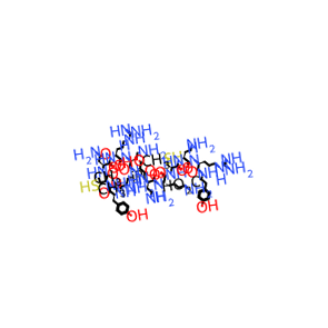 CC(C)C[C@H](N)C(=O)N[C@@H](Cc1ccc(O)cc1)C(=O)N[C@H](C(=O)N[C@@H](CC(N)=O)C(=O)N[C@@H](CCCNC(=N)N)C(=O)N[C@@H](CCN)C(=O)N[C@H](C(=O)N[C@H](CCN)C(=O)N[C@@H](CCCCN)C(=O)N[C@@H](CS)C(=O)N[C@@H](CCN)C(=O)N[C@@H](CCCNC(=N)N)C(=O)N[C@@H](Cc1ccc(O)cc1)C(=O)O)[C@@H](C)O)C(C)(C)S